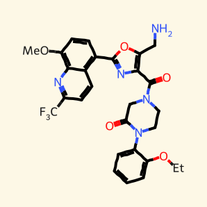 CCOc1ccccc1N1CCN(C(=O)c2nc(-c3ccc(OC)c4nc(C(F)(F)F)ccc34)oc2CN)CC1=O